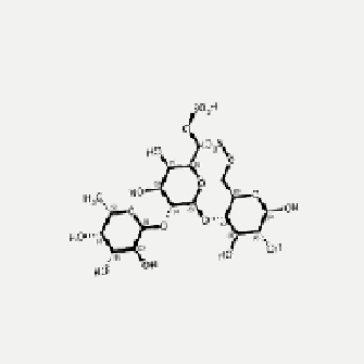 C[C@@H]1O[C@@H](O[C@H]2[C@H](O[C@H]3[C@H](O)[C@@H](O)[C@H](O)O[C@@H]3COS(=O)(=O)O)O[C@H](COS(=O)(=O)O)[C@H](O)[C@@H]2O)[C@@H](O)[C@H](O)[C@@H]1O